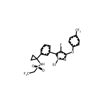 CCn1nc(Oc2ccc(C(F)(F)F)cc2)c(F)c1-c1cccc(C2(NS(=O)(=O)CC(F)(F)F)CC2)c1